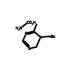 CCCCN1CN=CN=C1C.NC(=O)O